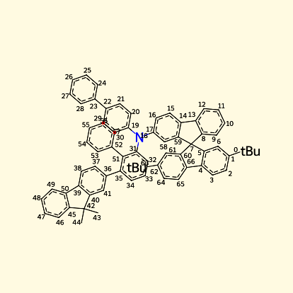 CC(C)(C)c1ccc2c(c1)C1(c3ccccc3-c3ccc(N(c4ccc(-c5ccccc5)cc4)c4cccc(-c5ccc6c(c5)C(C)(C)c5ccccc5-6)c4-c4ccccc4)cc31)c1cc(C(C)(C)C)ccc1-2